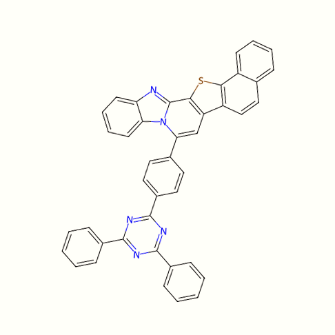 c1ccc(-c2nc(-c3ccccc3)nc(-c3ccc(-c4cc5c6ccc7ccccc7c6sc5c5nc6ccccc6n45)cc3)n2)cc1